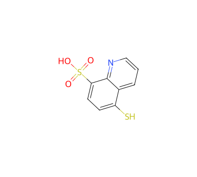 O=S(=O)(O)c1ccc(S)c2cccnc12